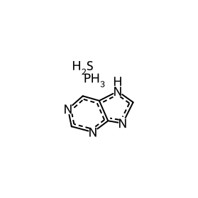 P.S.c1ncc2[nH]cnc2n1